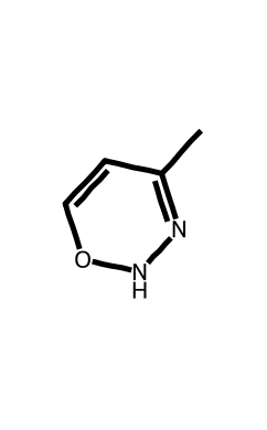 CC1=NNOC=C1